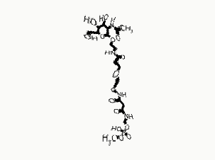 COP(=O)(O)OCNC(=O)CC(=O)NOCOCCC(=O)NCCOC1OC(CO)C(O)C(O)C1NC(C)=O